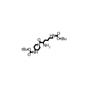 CC(C)(C)OC(=O)NCCCCC(N)C(=O)N1CCC(NC(=O)OC(C)(C)C)CC1